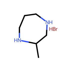 Br.CC1CNCCCN1